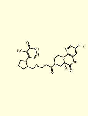 O=C1Nc2cc(C(F)(F)F)cnc2N2CCN(C(=O)CCOCC3CCCN3c3cn[nH]c(=O)c3C(F)(F)F)C[C@@H]12